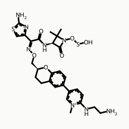 C[n+]1cc(-c2ccc3c(c2)CC[C@@H](CO/N=C(\C(=O)N[C@@H]2C(=O)N(OSO)C2(C)C)c2csc(N)n2)O3)ccc1NCCN